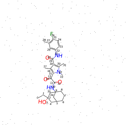 CCC1(O)CC2CCCC(NC(=O)C(=O)c3c(C)c(C(=O)Nc4ccc(F)c(C)c4)c(C)n3C)(C2)C1